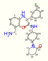 NCc1cccc(NC(C(=O)Nc2ccc(N3CCCCC3=O)cc2)c2cccc(F)c2)c1